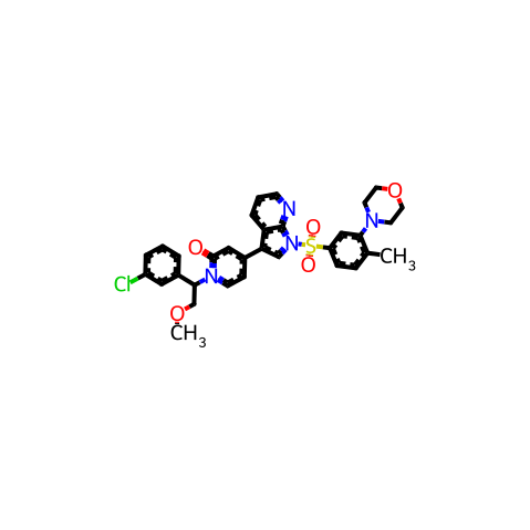 COCC(c1cccc(Cl)c1)n1ccc(-c2cn(S(=O)(=O)c3ccc(C)c(N4CCOCC4)c3)c3ncccc23)cc1=O